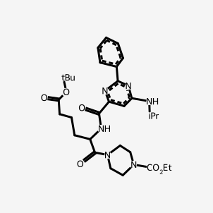 CCOC(=O)N1CCN(C(=O)C(CCCC(=O)OC(C)(C)C)NC(=O)c2cc(NC(C)C)nc(-c3ccccc3)n2)CC1